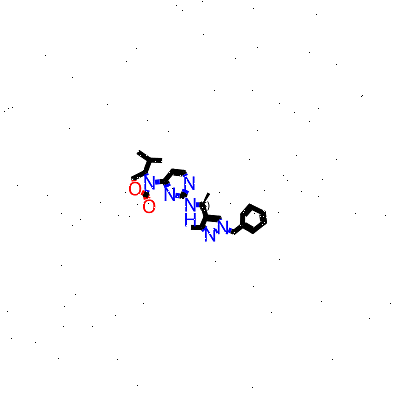 Cc1nn(Cc2ccccc2)cc1[C@H](C)Nc1nccc(N2C(=O)OCC2C(C)C)n1